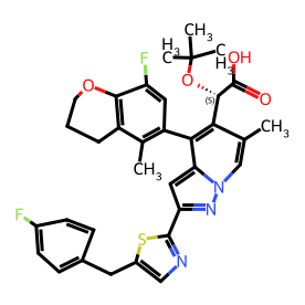 Cc1cn2nc(-c3ncc(Cc4ccc(F)cc4)s3)cc2c(-c2cc(F)c3c(c2C)CCCO3)c1[C@H](OC(C)(C)C)C(=O)O